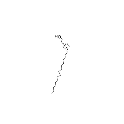 CCCCCCCCCCCCCCCCN1C=CN(CCO)C1